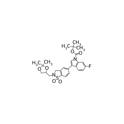 CC(C)(C)OC(=O)n1cc(-c2ccc3c(c2)CN(CC2COC(C)(C)O2)S3(=O)=O)c2ccc(F)cc21